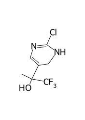 CC(O)(C1=CN=C(Cl)NC1)C(F)(F)F